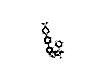 CN(C)C1CCN(c2ccc(-c3ccc4nnc5c(c4c3)n([C@@H]3CCCOC3)c(=O)n5C)cc2)CC1